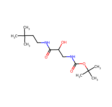 CC(C)(C)CCNC(=O)C(O)CNC(=O)OC(C)(C)C